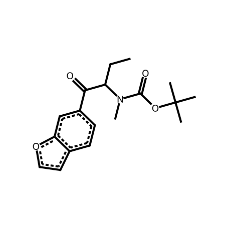 CCC(C(=O)c1ccc2ccoc2c1)N(C)C(=O)OC(C)(C)C